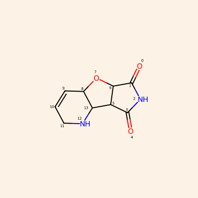 O=C1NC(=O)C2C1OC1C=CCNC12